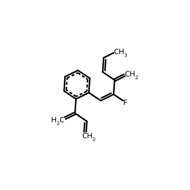 C=CC(=C)c1ccccc1/C=C(/F)C(=C)/C=C\C